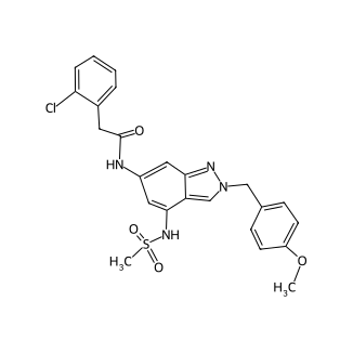 COc1ccc(Cn2cc3c(NS(C)(=O)=O)cc(NC(=O)Cc4ccccc4Cl)cc3n2)cc1